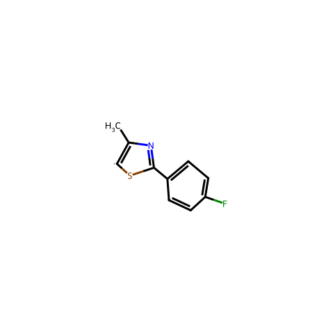 Cc1[c]sc(-c2ccc(F)cc2)n1